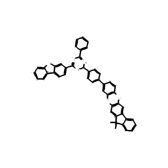 CC1(C)c2ccccc2-c2cc3c(cc21)Oc1cc(-c2ccc(C4N=C(c5ccccc5)N=C(c5ccc6c(c5)sc5ccccc56)N4)cc2)ccc1O3